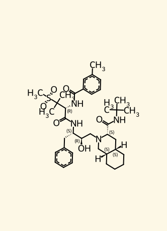 Cc1cccc(C(=O)N[C@H](C(=O)N[C@@H](Cc2ccccc2)[C@H](O)CN2C[C@H]3CCCC[C@H]3C[C@H]2C(=O)NC(C)(C)C)C(C)(C)S(C)(=O)=O)c1